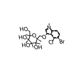 Cn1cc(OC[C@@]2(C)OC(C)(CO)[C@@](C)(O)C(C)(O)C2(C)O)c2c(Cl)c(Br)ccc21